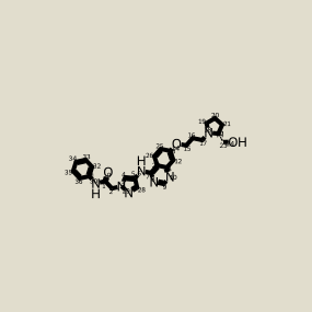 O=C(Cn1cc(Nc2ncnc3cc(OCCCN4CCC[C@@H]4CO)ccc23)cn1)Nc1ccccc1